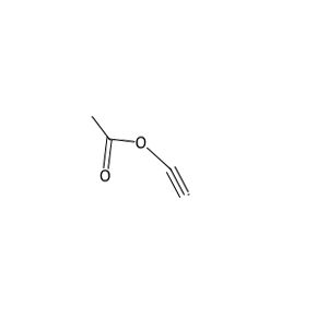 [C]#COC(C)=O